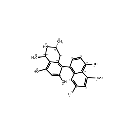 COc1cc(C)cc2c(-c3c(O)cc(O)c4c3C[C@@H](C)N[C@@H]4C)ccc(O)c12